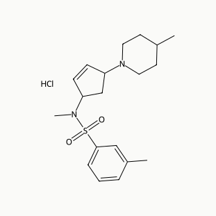 Cc1cccc(S(=O)(=O)N(C)C2C=CC(N3CCC(C)CC3)C2)c1.Cl